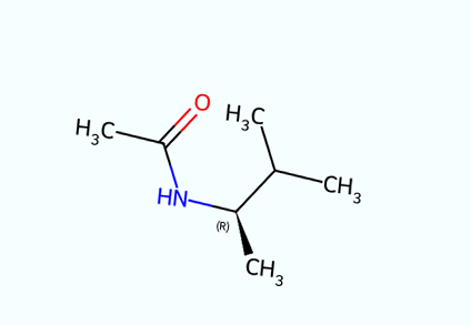 CC(=O)N[C@H](C)C(C)C